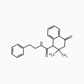 CC1(C)CC(=O)c2ccccc2N1C(=O)NCCc1ccccc1